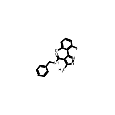 Cc1onc(-c2c(F)cccc2Cl)c1C(=O)NCc1cc[c]cc1